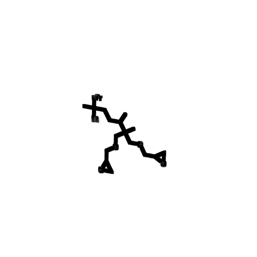 CCCC(C)(CC)CCC(C)C(C)(COCC1CO1)COCC1CO1